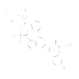 CNC(=O)c1c(-c2ccc(F)cc2)oc2c1cc(-c1cccc(C(=O)NC(C)(C)C)c1)c1c2ccn1C(=O)C(F)(F)F